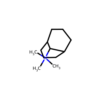 C[N+](C)(C)C1C2CCCC1CCC2